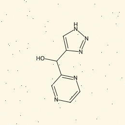 OC(c1cnccn1)c1c[nH]nn1